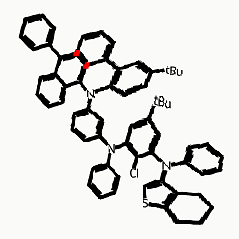 CC(C)(C)c1ccc(N(c2cccc(N(c3ccccc3)c3cc(C(C)(C)C)cc(N(c4ccccc4)c4csc5c4CCCC5)c3Cl)c2)c2ccc(-c3ccccc3)c3ccccc23)c(-c2ccccc2)c1